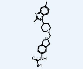 Cc1ccc2c(c1)nc(C)n2C1CCN(C[C@@H]2Cc3ccc(NC(=O)C(C)C)cc3C2)CC1